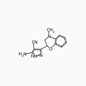 CN1CC(c2n[nH]c(N)c2C#N)Oc2ccccc21